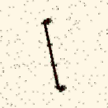 CN1Cc2c(Cl)cc(Cl)cc2C(c2cccc(S(=O)(=O)NCCOCCOCCOCCOCCOCCOCCOCCOCCOCCOCCNC(=O)CCOCCOCCOCCOCCOCCOCCOCCOCCOCCC(=O)NCCOCCOCCOCCOCCOCCOCCOCCOCCOCCOCCNS(=O)(=O)c3cccc(C4CN(C)Cc5c(Cl)cc(Cl)cc54)c3)c2)C1